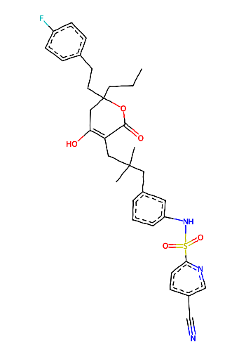 CCCC1(CCc2ccc(F)cc2)CC(O)=C(CC(C)(C)Cc2cccc(NS(=O)(=O)c3ccc(C#N)cn3)c2)C(=O)O1